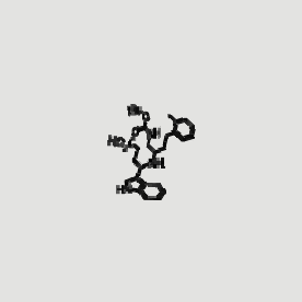 Cc1ccccc1CCC(CNC(=O)OC(C)(C)C)N[C@H](CCC(=O)O)c1c[nH]c2ccccc12